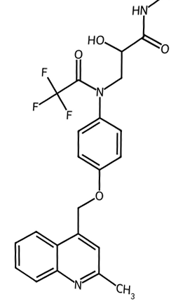 Cc1cc(COc2ccc(N(CC(O)C(=O)NO)C(=O)C(F)(F)F)cc2)c2ccccc2n1